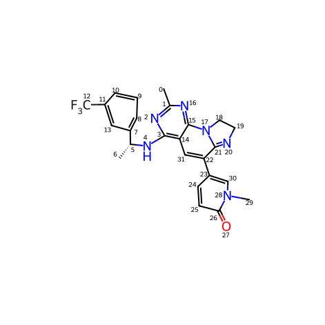 Cc1nc(N[C@H](C)c2cccc(C(F)(F)F)c2)c2c(n1)N1CCN=C1C(c1ccc(=O)n(C)c1)=C2